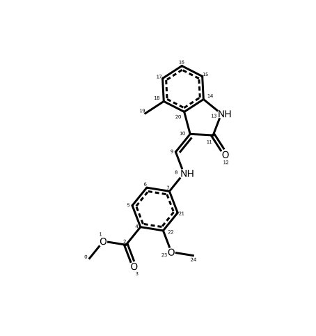 COC(=O)c1ccc(NC=C2C(=O)Nc3cccc(C)c32)cc1OC